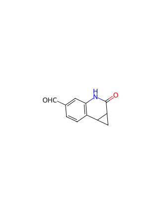 O=Cc1ccc2c(c1)NC(=O)C1CC21